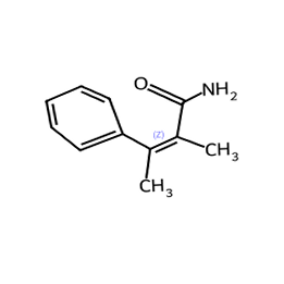 C/C(C(N)=O)=C(\C)c1ccccc1